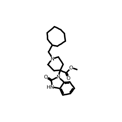 COC(=O)C1(n2c(=O)[nH]c3ccccc32)CCN(CC2CCCCCCC2)CC1